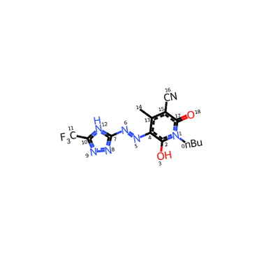 CCCCn1c(O)c(N=Nc2nnc(C(F)(F)F)[nH]2)c(C)c(C#N)c1=O